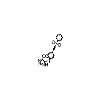 O=C(O)c1nn[nH]c1Oc1ccc(C#CS(=O)(=O)c2ccccc2)cc1